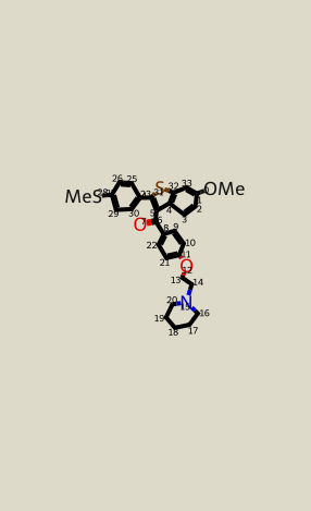 COc1ccc2c(C(=O)c3ccc(OCCN4CCCCC4)cc3)c(-c3ccc(SC)cc3)sc2c1